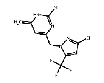 C=C1C=C(Cn2nc(Cl)cc2C(F)(F)F)N=C(S)N1